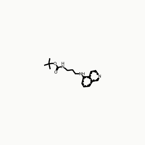 CC(C)(C)OC(=O)NCCCNc1cccc2cnccc12